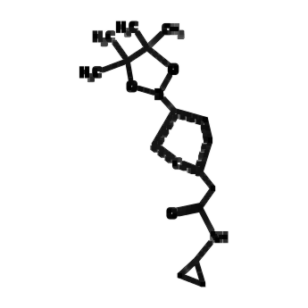 CC1(C)OB(c2ccc(CC(=O)NC3CC3)cc2)OC1(C)C